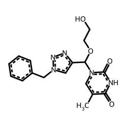 Cc1cn(C(OCCO)c2cn(Cc3ccccc3)nn2)c(=O)[nH]c1=O